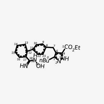 CCCCc1n[nH]c(C(=O)OCC)c1Cc1ccc(-c2ccccc2C(=N)NO)cc1